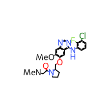 CNCC(=O)N1CCCC1COc1cc2c(Nc3cccc(Cl)c3F)ncnc2cc1OC